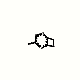 Clc1cnc2c(n1)CC2